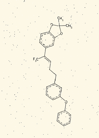 CC1(C)Oc2ccc(C(=CCCc3cccc(Oc4ccccc4)c3)C(F)(F)F)cc2O1